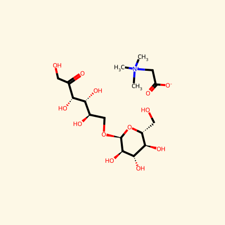 C[N+](C)(C)CC(=O)[O-].O=C(CO)[C@@H](O)[C@H](O)[C@H](O)CO[C@H]1O[C@H](CO)[C@@H](O)[C@H](O)[C@H]1O